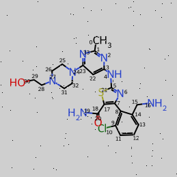 Cc1nc(Nc2nc(-c3c(Cl)cccc3CN)c(C(N)=O)s2)cc(N2CCN(CCO)CC2)n1